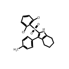 Cc1ccc(-c2c(S(=O)(=O)c3c(Cl)cccc3Cl)[nH]c3c2CCCC3)cc1